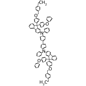 C=Cc1ccc(COc2ccc(C3(c4ccc(Oc5ccccc5)cc4)c4ccccc4-c4ccc(N(c5ccccc5)c5ccc(-c6ccc(N(c7ccccc7)c7ccc8c(c7)C(c7ccc(OCc9ccc(C=C)cc9)cc7)(c7ccc(Oc9ccccc9)cc7)c7ccccc7-8)cc6)cc5)cc43)cc2)cc1